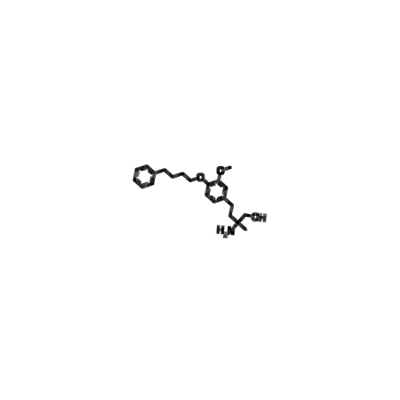 COc1cc(CCC(C)(N)CO)ccc1OCCCCc1ccccc1